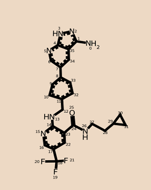 Nc1n[nH]c2ncc(-c3ccc(CNc4ncc(C(F)(F)F)cc4C(=O)NCCC4CC4)cc3)cc12